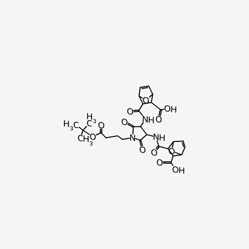 CC(C)(C)OC(=O)CCCN1C(=O)C(NC(=O)C2C3C=CC(O3)C2C(=O)O)C(NC(=O)C2C3C=CC(O3)C2C(=O)O)C1=O